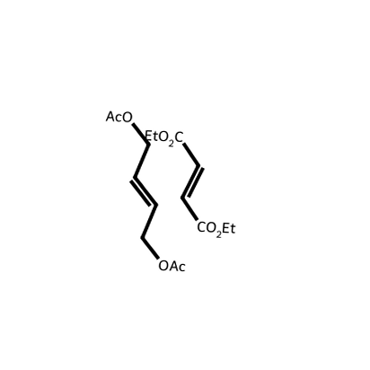 CC(=O)OCC=CCOC(C)=O.CCOC(=O)C=CC(=O)OCC